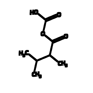 CC(C)C(C)C(=O)OC(=O)O